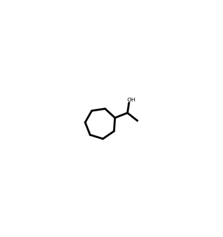 CC(O)C1CCCCCC1